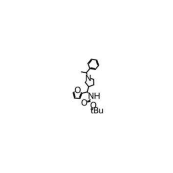 CC(c1ccccc1)N1CCC([C@@H](NC(=O)OC(C)(C)C)c2ccco2)C1